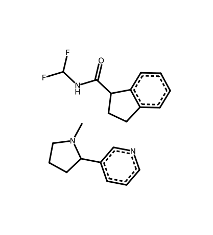 CN1CCCC1c1cccnc1.O=C(NC(F)F)C1CCc2ccccc21